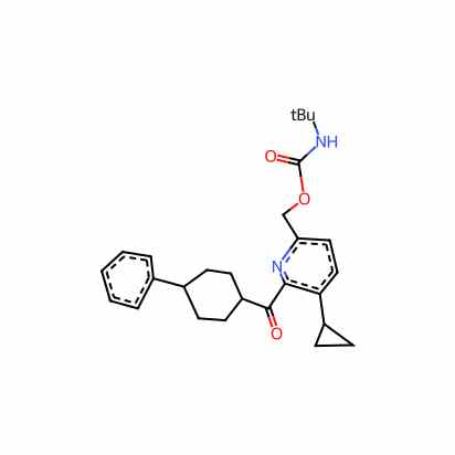 CC(C)(C)NC(=O)OCc1ccc(C2CC2)c(C(=O)C2CCC(c3ccccc3)CC2)n1